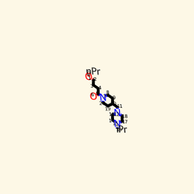 CCCOCCCC(=O)N1CCC(CN2CCN(C(C)C)CC2)CC1